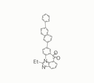 CCc1nc2cccc3c2n1-c1ccc(-c2ccc4cc(-c5ccccc5)ccc4c2)cc1S3(=O)=O